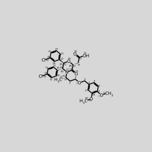 COc1ccc(COCC[C@H](C)N2C(=O)[C@@H](CC(=O)O)O[C@H](c3cccc(Cl)c3)[C@H]2c2ccc(Cl)cc2)cc1OC